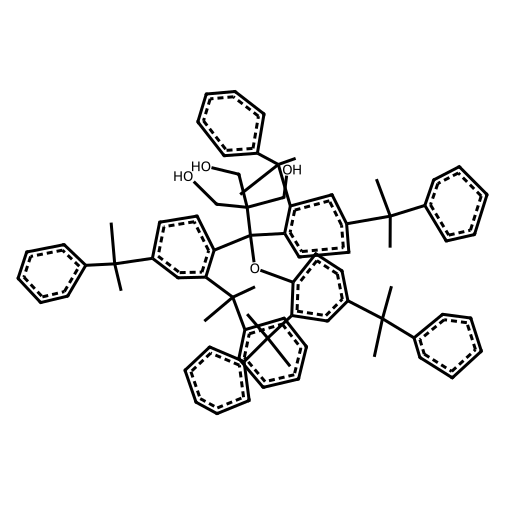 CC(C)(c1ccccc1)c1ccc(OC(c2ccc(C(C)(C)c3ccccc3)cc2C(C)(C)c2ccccc2)(c2ccc(C(C)(C)c3ccccc3)cc2C(C)(C)c2ccccc2)C(CO)(CO)CO)c(C(C)(C)c2ccccc2)c1